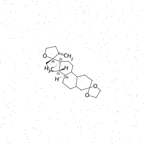 C=C1CCO[C@]12CC[C@H]1[C@@H]3CCC4CC5(CCC4C3CC[C@@]12C)OCCO5